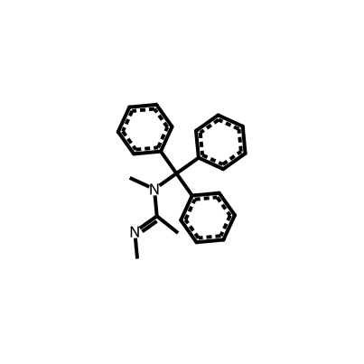 C/N=C(\C)N(C)C(c1ccccc1)(c1ccccc1)c1ccccc1